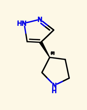 c1n[nH]cc1[C@H]1CCNC1